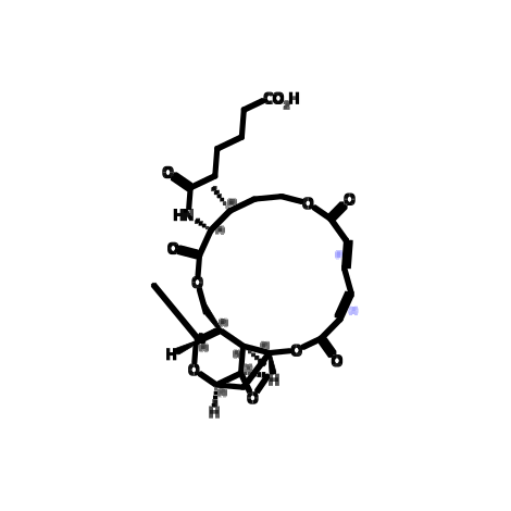 CC1=C[C@H]2O[C@@H]3C[C@H]4OC(=O)/C=C\C=C\C(=O)OCC[C@@H](C)[C@@H](NC(=O)CCCCC(=O)O)C(=O)OC[C@@]2(CC1)[C@]4(C)[C@]31CO1